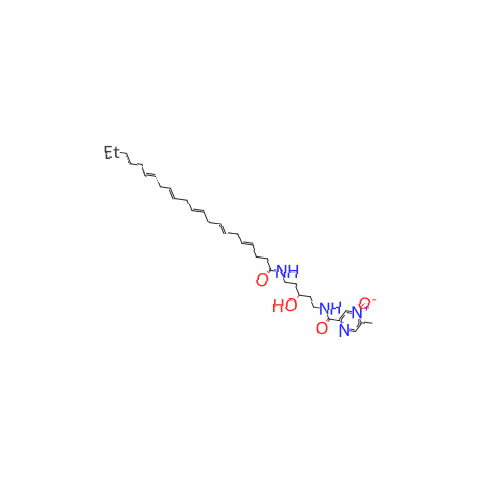 CCC=CCC=CCC=CCC=CCC=CCC=CCCC(=O)NCCC(O)CCNC(=O)c1c[n+]([O-])c(C)cn1